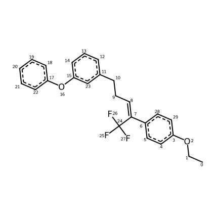 CCOc1ccc(C(=CCCc2cccc(Oc3ccccc3)c2)C(F)(F)F)cc1